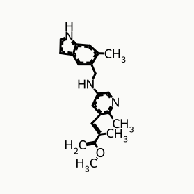 C=C(OC)/C(C)=C/c1cc(NCc2cc3cc[nH]c3cc2C)cnc1C